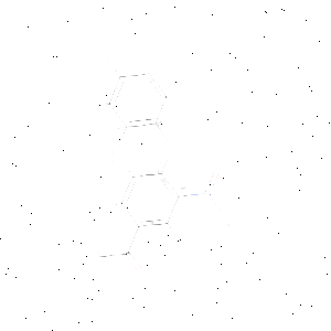 CC(=O)c1ccc(Sc2ccc(F)cc2F)c([N+](=O)[O-])c1